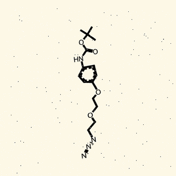 CC(C)(C)OC(=O)Nc1ccc(OCCOCCN=[N+]=[N-])cc1